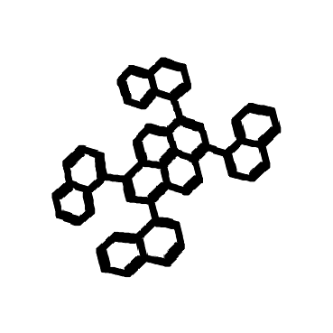 c1ccc2c(-c3cc(-c4cccc5ccccc45)c4ccc5c(-c6cccc7ccccc67)cc(-c6cccc7ccccc67)c6ccc3c4c65)cccc2c1